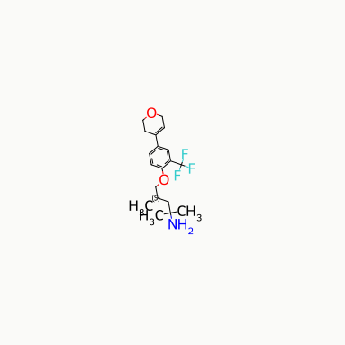 C[C@H](COc1ccc(C2=CCOCC2)cc1C(F)(F)F)CC(C)(C)N